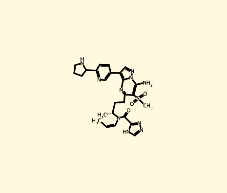 C/C=C\N(C(=O)c1nnc[nH]1)[C@H](C)CCc1nc2c(-c3ccc(C4CCCN4)nc3)cnn2c(N)c1S(C)(=O)=O